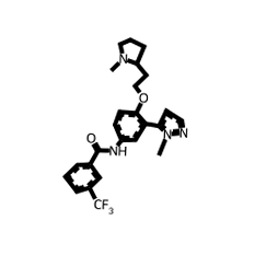 CN1CCCC1CCOc1ccc(NC(=O)c2cccc(C(F)(F)F)c2)cc1-c1ccnn1C